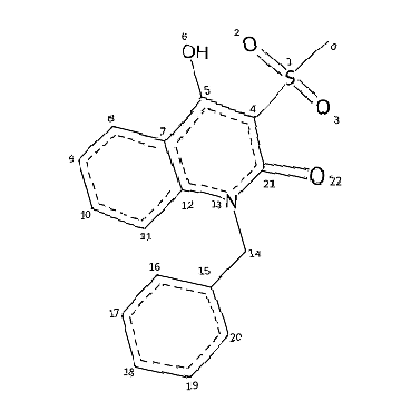 CS(=O)(=O)c1c(O)c2ccccc2n(Cc2ccccc2)c1=O